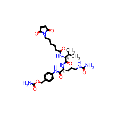 CC(C)[C@H](NC(=O)CCCCCN1C(=O)C=CC1=O)C(=O)N[C@@H](CCCNC(N)=O)C(=O)Nc1ccc(COC(N)=O)cc1